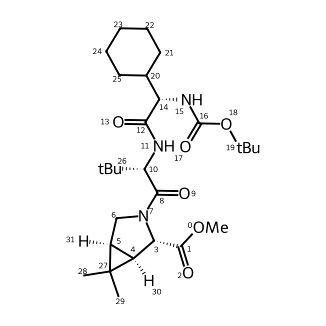 COC(=O)[C@@H]1[C@@H]2[C@H](CN1C(=O)[C@@H](NC(=O)[C@@H](NC(=O)OC(C)(C)C)C1CCCCC1)C(C)(C)C)C2(C)C